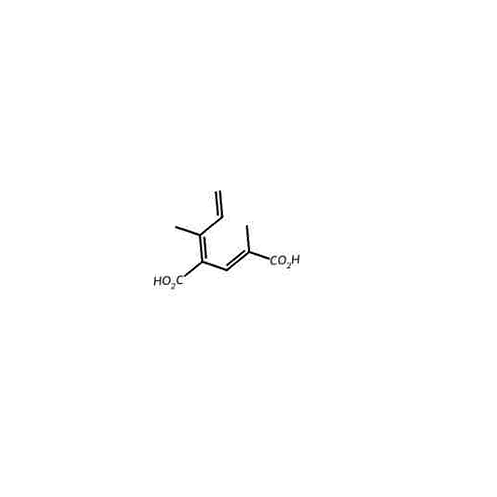 C=CC(C)=C(C=C(C)C(=O)O)C(=O)O